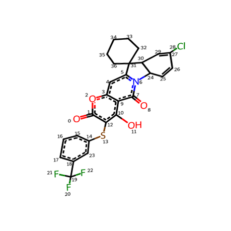 O=c1oc2cc3n(c(=O)c2c(O)c1Sc1cccc(C(F)(F)F)c1)C1C=CC(Cl)=CC1C31CCCCC1